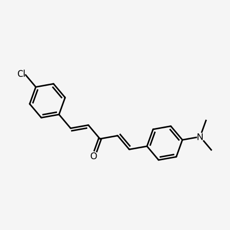 CN(C)c1ccc(C=CC(=O)C=Cc2ccc(Cl)cc2)cc1